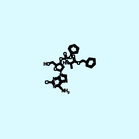 CC(NP(=O)(Oc1ccccc1)OC1C[C@H](n2cnc3c(N)nc(Cl)nc32)OC1CO)C(=O)OCc1ccccc1